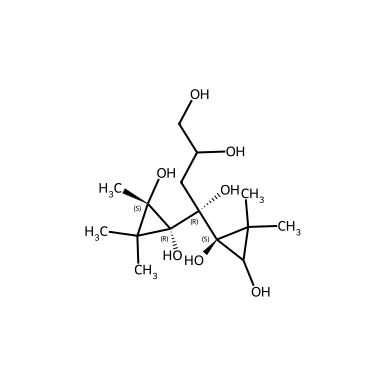 CC1(C)[C@](O)([C@@](O)(CC(O)CO)[C@@]2(O)C(O)C2(C)C)[C@@]1(C)O